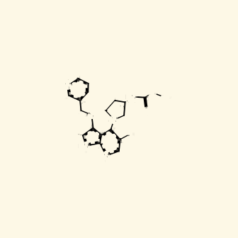 CC(C)(C)OC(=O)N[C@@H]1CCN(c2c(Br)cnc3[nH]cc(NCc4cccnc4)c23)C1